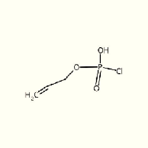 C=CCOP(=O)(O)Cl